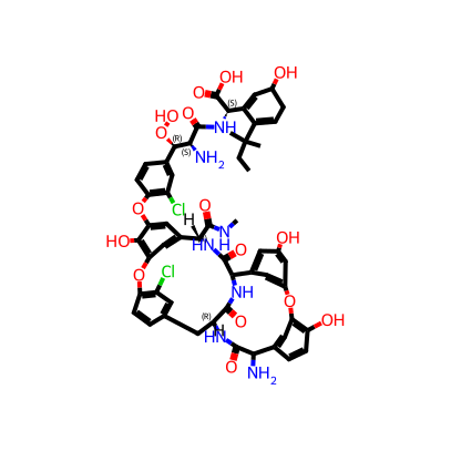 CCC(C)(C)C1=CCC(O)C=C1[C@H](NC(=O)[C@@H](N)[C@H](OO)c1ccc(Oc2cc3cc(c2O)Oc2ccc(cc2Cl)C[C@H]2NC(=O)C(N)c4ccc(O)c(c4)Oc4cc(O)cc(c4)C(NC2=O)C(=O)N[C@H]3C(=O)NC)c(Cl)c1)C(=O)O